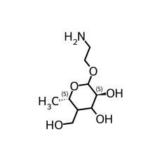 C[C@@H]1OC(OCCN)[C@@H](O)C(O)C1CO